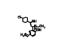 CCNC(CC(=N)C1CCC(Cl)CC1)c1cc(OC)ccc1O